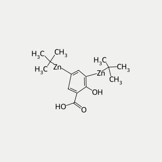 C[C](C)(C)[Zn][c]1c[c]([Zn][C](C)(C)C)c(O)c(C(=O)O)c1